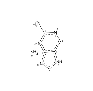 N.Nc1ncc2[nH]cnc2n1